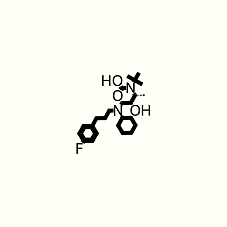 C[C@H]([C@@H](O)CN(CCCc1ccc(F)cc1)C1CCCCC1)N(C(=O)O)C(C)(C)C